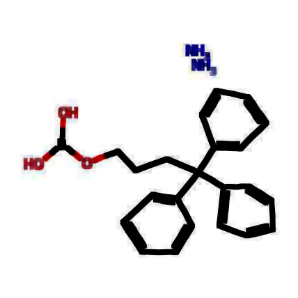 N.N.OB(O)OCCCC(c1ccccc1)(c1ccccc1)c1ccccc1